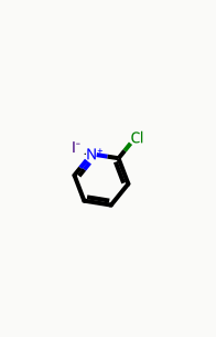 ClC1=CC=CC=[N+]1.[I-]